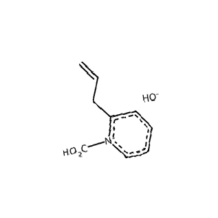 C=CCc1cccc[n+]1C(=O)O.[OH-]